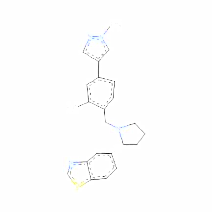 Cc1cc(-c2cnn(C)c2)ccc1CN1CCC[C@@H]1c1ccc2scnc2c1